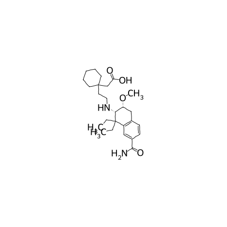 CCC1(CC)c2cc(C(N)=O)ccc2C[C@@H](OC)[C@H]1NCCC1(CC(=O)O)CCCCC1